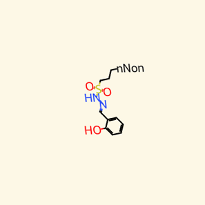 CCCCCCCCCCCCS(=O)(=O)NN=Cc1ccccc1O